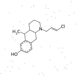 CC1c2cc(O)ccc2CC2C1CCCN2CC=CCl